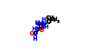 Cc1ccc(CNc2nc(C=N)c(NCC3CNC(=O)C3)c(=O)[nH]2)cc1C